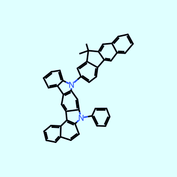 CC1(C)c2cc(-n3c4ccccc4c4cc5c6c7ccccc7ccc6n(-c6ccccc6)c5cc43)ccc2-c2cc3ccccc3cc21